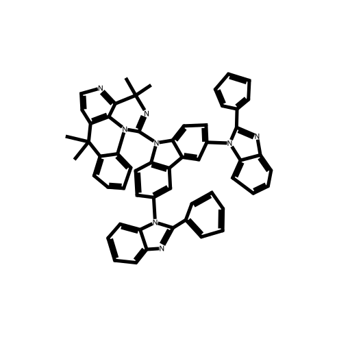 CC1(C)N=C(n2c3ccc(-n4c(-c5ccccc5)nc5ccccc54)cc3c3cc(-n4c(-c5ccccc5)nc5ccccc54)ccc32)N2c3ccccc3C(C)(C)c3ccnc1c32